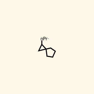 CC[CH]C1CC12CCCC2